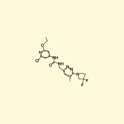 CCOc1cc(NC(=O)NCc2cc(C)c(N3CCC(F)(F)C3)nn2)cc(Cl)n1